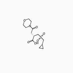 O=C(O)[C@H](CC(=O)N1CCOCC1)CS(=O)(=O)CC1CC1